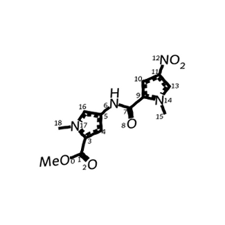 COC(=O)c1cc(NC(=O)c2cc([N+](=O)[O-])cn2C)cn1C